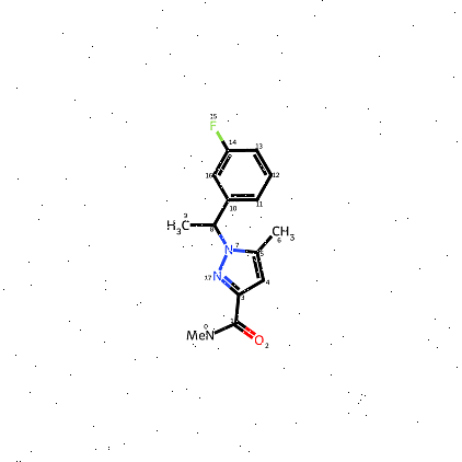 CNC(=O)c1cc(C)n(C(C)c2cccc(F)c2)n1